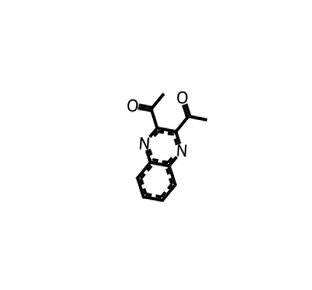 CC(=O)c1nc2ccccc2nc1C(C)=O